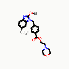 CCOc1nc2ccc(C(=O)O)cc2n1Cc1ccc(C(=O)OCCN2CCOCC2)cc1